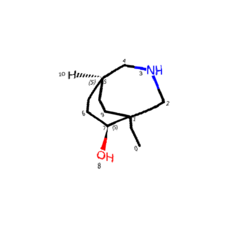 CC12CNC[C@H](C[C@@H]1O)C2